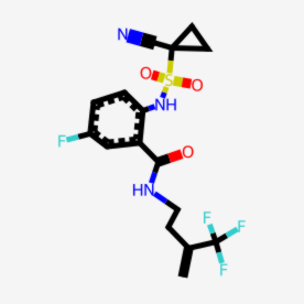 C=C(CCNC(=O)c1cc(F)ccc1NS(=O)(=O)C1(C#N)CC1)C(F)(F)F